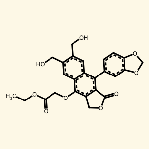 CCOC(=O)COc1c2c(c(-c3ccc4c(c3)OCO4)c3cc(CO)c(CO)cc13)C(=O)OC2